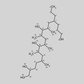 CCCC(CCCO)CC(C)C(O)C(C)SC(C)C(O)C(C)CC(C)CCC(O)CO